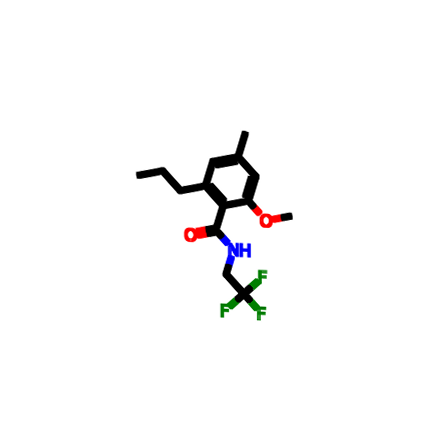 CCCc1cc(C)cc(OC)c1C(=O)NCC(F)(F)F